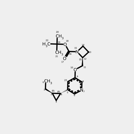 CC[C@@H]1C[C@H]1c1cncc(OC[C@@H]2CCN2C(=O)OC(C)(C)C)c1